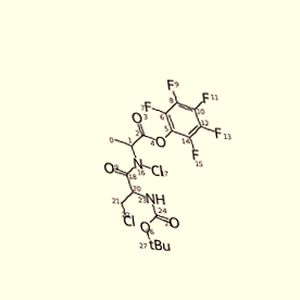 CC(C(=O)Oc1c(F)c(F)c(F)c(F)c1F)N(Cl)C(=O)C(CCl)NC(=O)OC(C)(C)C